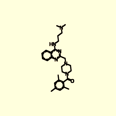 Cc1cc(C)c(C(=O)N2CCN(Cc3nc(NCCCN(C)C)c4ccccc4n3)CC2)c(C)c1